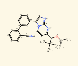 C[SiH](C)OC(c1ccn2c(-c3cccc(-c4ccccc4C#N)c3)cnc2n1)C(C)(C)C